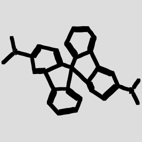 CB(C)c1ccc2c(c1)-c1ccccc1C21c2ccccc2-c2cc(B(C)C)ccc21